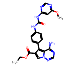 CCOC(=O)c1cn2ncnc(N)c2c1-c1ccc(NC(=O)Nc2cc(OC)ncn2)cc1